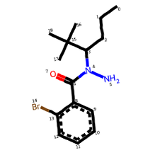 CCCC(N(N)C(=O)c1ccccc1Br)C(C)(C)C